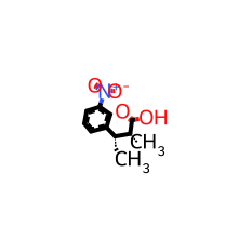 CC[C@H](c1cccc([N+](=O)[O-])c1)[C@@H](C)C(=O)O